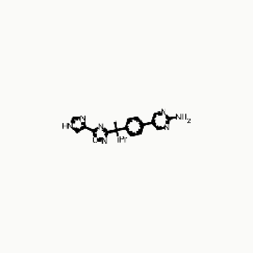 CC(C)C(C)(c1ccc(-c2cnc(N)nc2)cc1)c1noc(-c2c[nH]cn2)n1